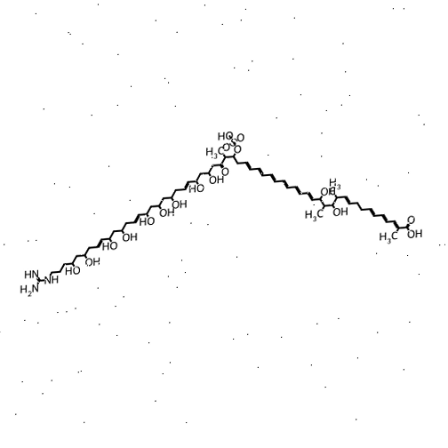 C\C(=C/C=C/C=C/CC/C=C/C(C)C(O)C(C)C(O)/C=C/C=C/C=C/C=C/C=C/C=C/CC(OS(=O)(=O)O)C(C)C(=O)CC(O)CC(O)/C=C/CC(O)CC(O)CC(O)/C=C/CC(O)CC(O)/C=C/CC(O)CC(O)CCCNC(=N)N)C(=O)O